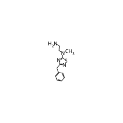 CN(CCN)c1nc(Cc2ccccc2)ns1